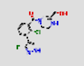 O=C(c1cccc(-c2c[nH]nc2F)c1Cl)N1CCN[C@H](CO)C1